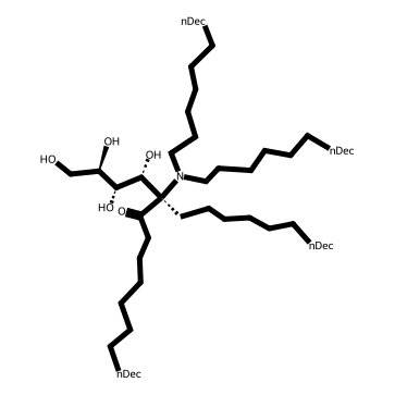 CCCCCCCCCCCCCCCCC(=O)[C@@](CCCCCCCCCCCCCCCC)([C@@H](O)[C@H](O)[C@H](O)CO)N(CCCCCCCCCCCCCCCC)CCCCCCCCCCCCCCCC